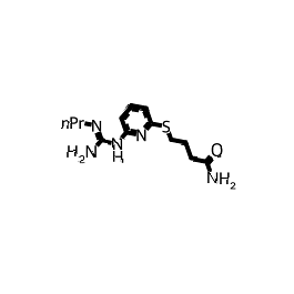 CCCN=C(N)Nc1cccc(SCCCC(N)=O)n1